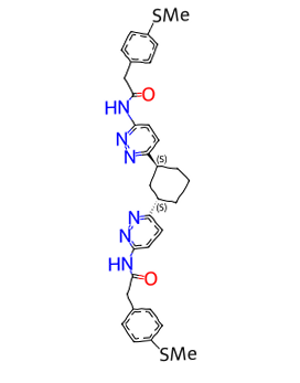 CSc1ccc(CC(=O)Nc2ccc([C@H]3CCC[C@H](c4ccc(NC(=O)Cc5ccc(SC)cc5)nn4)C3)nn2)cc1